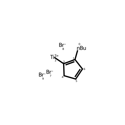 CCCCC1=[C]([Ti+3])CC=C1.[Br-].[Br-].[Br-]